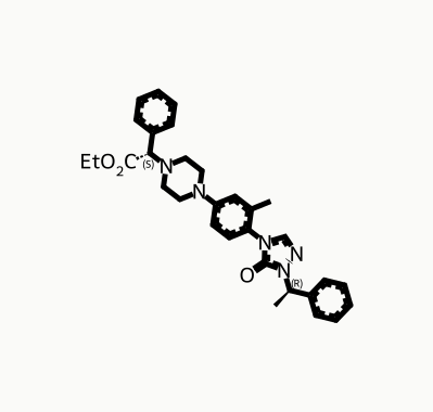 CCOC(=O)[C@H](c1ccccc1)N1CCN(c2ccc(-n3cnn([C@H](C)c4ccccc4)c3=O)c(C)c2)CC1